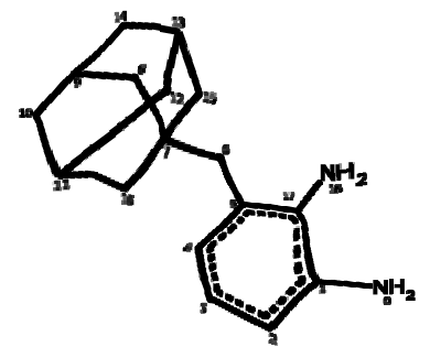 Nc1cccc(CC23CC4CC(CC(C4)C2)C3)c1N